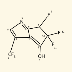 OC1=C2C(C(F)(F)F)=CN=C2C(F)C1(F)F